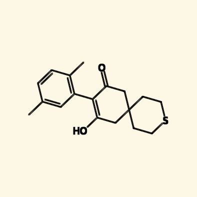 Cc1ccc(C)c(C2=C(O)CC3(CCSCC3)CC2=O)c1